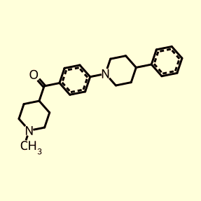 CN1CCC(C(=O)c2ccc(N3CCC(c4ccccc4)CC3)cc2)CC1